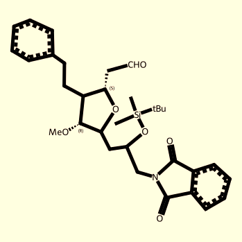 CO[C@H]1C(CC(CN2C(=O)c3ccccc3C2=O)O[Si](C)(C)C(C)(C)C)O[C@@H](CC=O)C1CCc1ccccc1